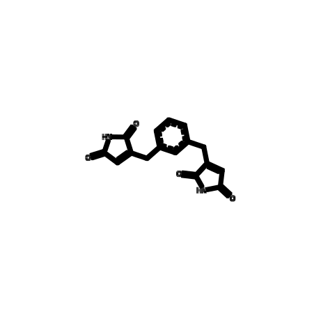 O=C1C=C(Cc2cccc(CC3=CC(=O)NC3=O)c2)C(=O)N1